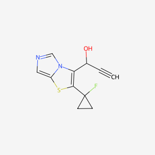 C#CC(O)c1c(C2(F)CC2)sc2cncn12